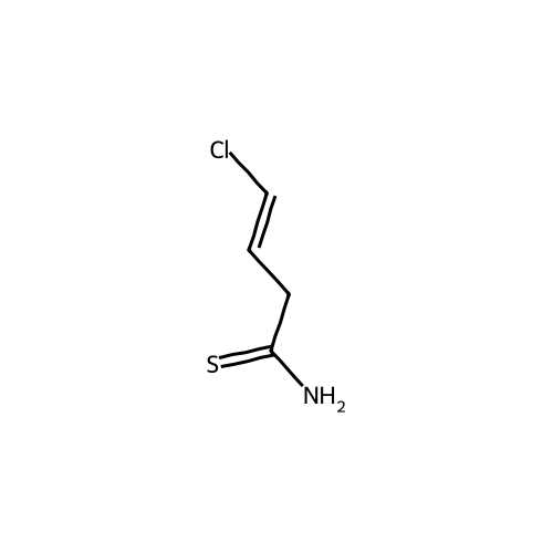 NC(=S)CC=CCl